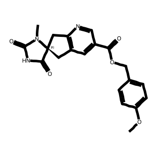 COc1ccc(COC(=O)c2cnc3c(c2)C[C@@]2(C3)C(=O)NC(=O)N2C)cc1